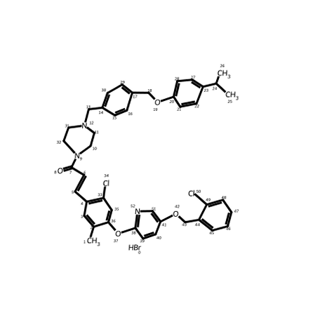 Br.Cc1cc(C=CC(=O)N2CCN(Cc3ccc(COc4ccc(C(C)C)cc4)cc3)CC2)c(Cl)cc1Oc1ccc(OCc2ccccc2Cl)cn1